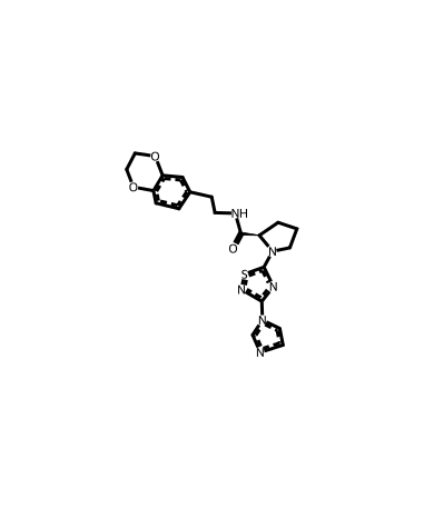 O=C(NCCc1ccc2c(c1)OCCO2)[C@H]1CCCN1c1nc(-n2ccnc2)ns1